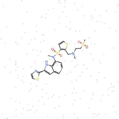 CN(CCS(C)(=O)=O)Cc1sccc1S(=O)(=O)N(C)c1cccc2cc(-c3nccs3)[nH]c12